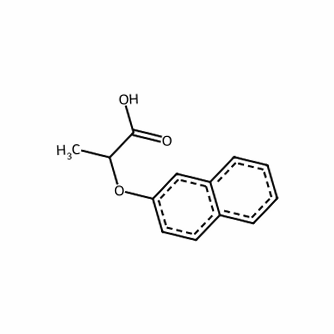 CC(Oc1ccc2ccccc2c1)C(=O)O